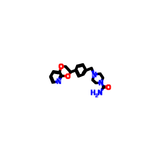 NC(=O)N1CCN(Cc2ccc(C3COc4cccnc4O3)cc2)CC1